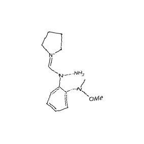 CON(C)c1ccccc1N(N)C=[N+]1CCCC1